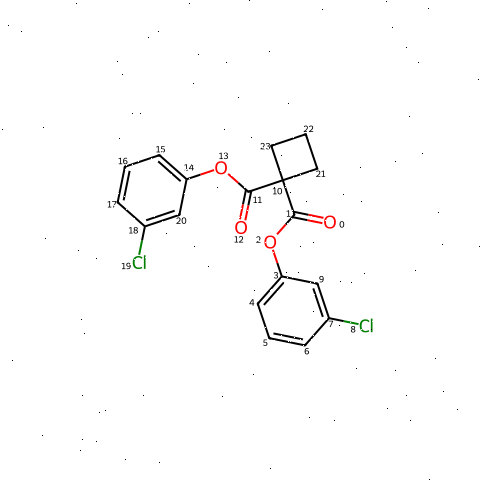 O=C(Oc1cccc(Cl)c1)C1(C(=O)Oc2cccc(Cl)c2)CCC1